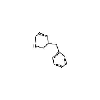 C1=CC(Cc2ccccc2)CNC1